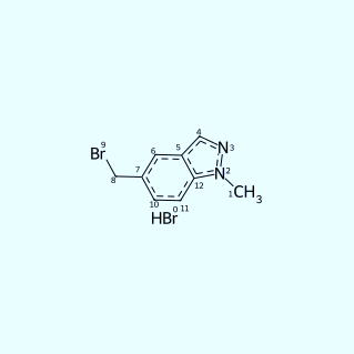 Br.Cn1ncc2cc(CBr)ccc21